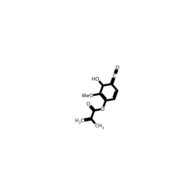 C=C(C)C(=O)OC1=C(OC)C(O)C(=C=O)C=C1